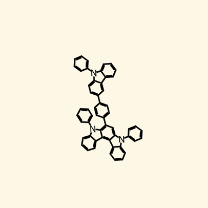 c1ccc(-n2c3ccccc3c3cc(-c4ccc(-c5cc6c(c7ccccc7n6-c6ccccc6)c6c7ccccc7n(-c7ccccc7)c56)cc4)ccc32)cc1